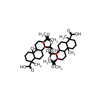 C=C1OC(=O)C2C3CC4C5(C)CCCC(C)(C(=O)O)C5CCC4(C(OOC4C(C(C)C)C5CC6C7(C)CCCC(C)(C(=O)O)C7CCC46C4C(=O)OC(=O)C54)C3C(C)C)C12